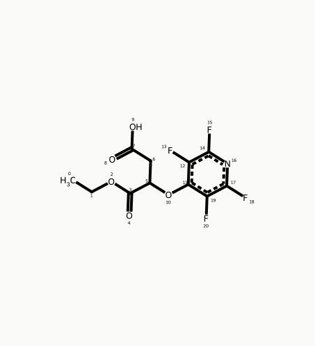 CCOC(=O)C(CC(=O)O)Oc1c(F)c(F)nc(F)c1F